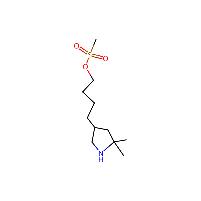 CC1(C)CC(CCCCOS(C)(=O)=O)CN1